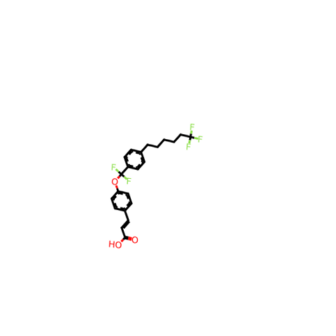 O=C(O)C=Cc1ccc(OC(F)(F)c2ccc(CCCCCC(F)(F)F)cc2)cc1